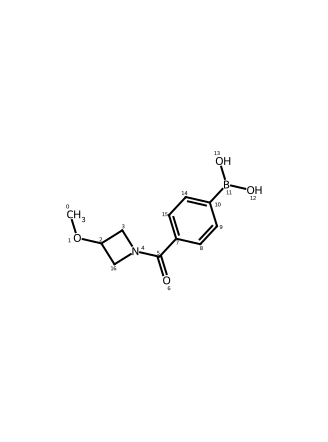 COC1CN(C(=O)c2ccc(B(O)O)cc2)C1